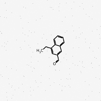 CCc1cc(C=O)cc2ccccc12